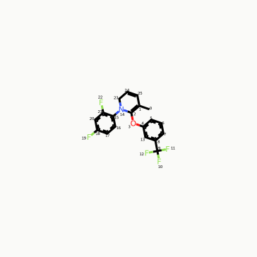 CC1=C(Oc2cccc(C(F)(F)F)c2)N(c2ccc(F)cc2F)CC=C1